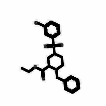 CCOC(=O)C1CN(S(=O)(=O)c2cccc(Cl)c2)CCN1Cc1ccccc1